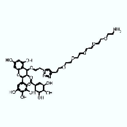 NCCOCCOCCOCCOCCOCCc1cn(CCOC2c3c(O)cc(O)cc3OC(c3cc(O)c(O)c(O)c3)C2OC(=O)C2=CC(O)C(O)C(O)C2)nn1